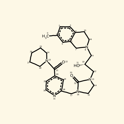 Cc1ccc2c(c1)CN(C[C@@H](O)CN1CCN(Cc3cc(C(=O)N4CCCCC4)ccn3)C1=O)CC2